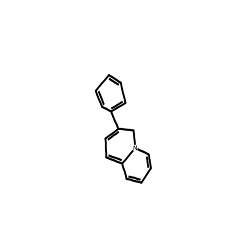 C1=CC2=CC=C(c3ccccc3)CN2C=C1